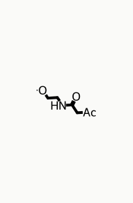 CC(=O)CC(=O)NCC[O]